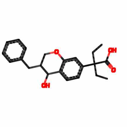 CCC(CC)(C(=O)O)c1ccc2c(c1)OCC(Cc1ccccc1)C2O